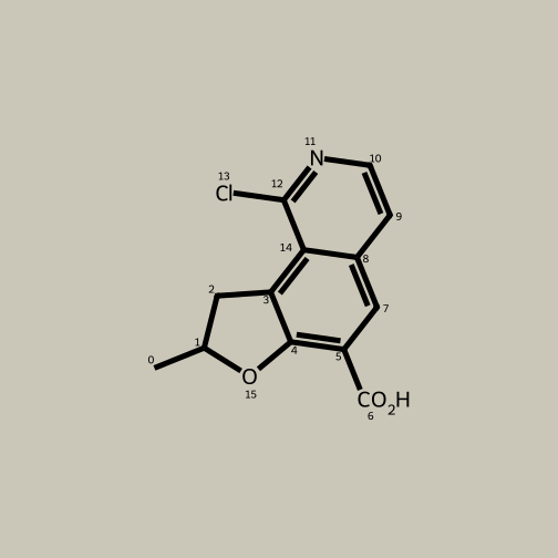 CC1Cc2c(c(C(=O)O)cc3ccnc(Cl)c23)O1